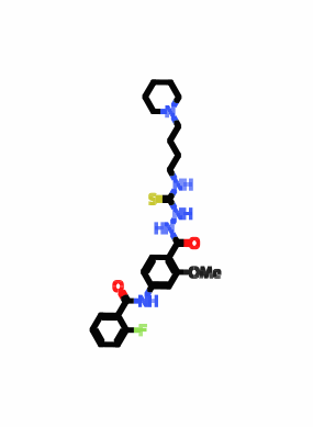 COc1cc(NC(=O)c2ccccc2F)ccc1C(=O)NNC(=S)NCCCCN1CCCCC1